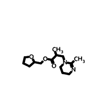 CC1=NCCCN1CC(C)C(=O)OCC1CCCO1